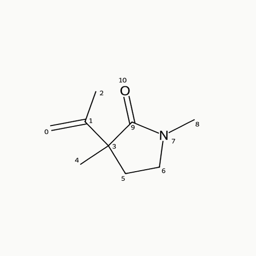 C=C(C)C1(C)CCN(C)C1=O